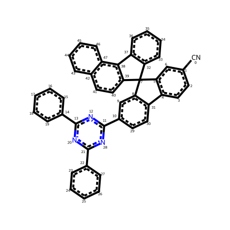 N#Cc1ccc2c(c1)C1(c3cc(-c4nc(-c5ccccc5)nc(-c5ccccc5)n4)ccc3-2)c2ccccc2-c2c1ccc1ccccc21